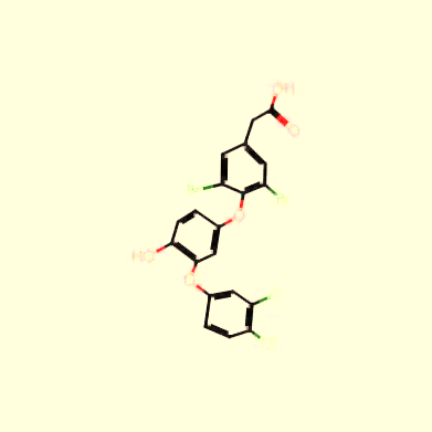 O=C(O)Cc1cc(Br)c(Oc2ccc(O)c(Oc3ccc(Cl)c(Cl)c3)c2)c(Br)c1